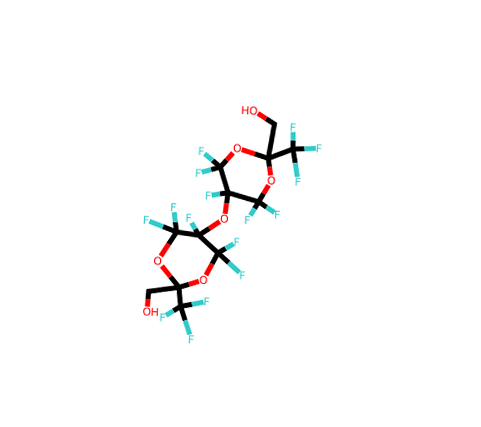 OCC1(C(F)(F)F)OC(F)(F)C(F)(OC2(F)C(F)(F)OC(CO)(C(F)(F)F)OC2(F)F)C(F)(F)O1